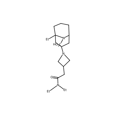 CCN(CC)C(=O)CC1CN(C2CC3CCCC(CC)(C2)N3C(=O)O)C1